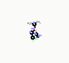 Cc1cc(CNC(=O)c2cncc(-c3ccc(F)c(Cl)c3)c2N2CCC3(CCN3)C2)cc(C)n1